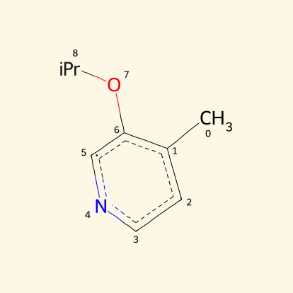 Cc1ccn[c]c1OC(C)C